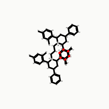 Cc1ccc(C2CC(c3ccccc3)CC(c3ccc(C)cc3C)P2CCCP2C(c3ccc(C)cc3C)CC(c3ccccc3)CC2c2ccc(C)cc2C)c(C)c1